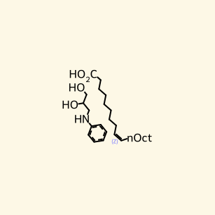 CCCCCCCC/C=C\CCCCCCCC(=O)O.OCC(O)CNc1ccccc1